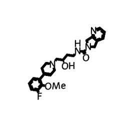 COc1c(F)cccc1C1=CCN(C[C@H](O)CCNC(=O)N2Cc3cccnc3C2)CC1